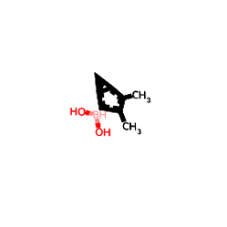 Cc1cc2cc-2c1C.OBO